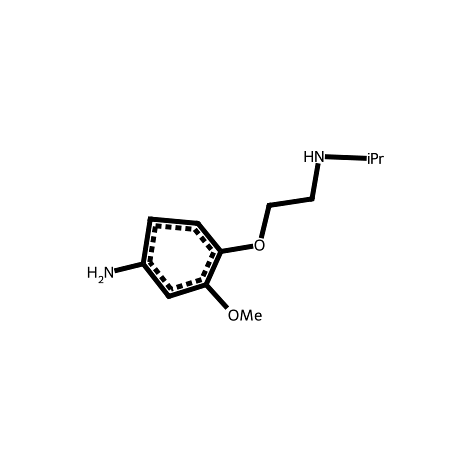 COc1cc(N)ccc1OCCNC(C)C